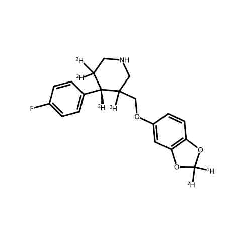 [2H]C1([2H])Oc2ccc(OCC3([2H])CNCC([2H])([2H])[C@@]3([2H])c3ccc(F)cc3)cc2O1